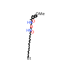 CCC=CCC=CCC=CCC=CCC=CCC=CCCC(=O)NCCOCCNC(=O)C(C)c1ccc2cc(OC)ccc2c1